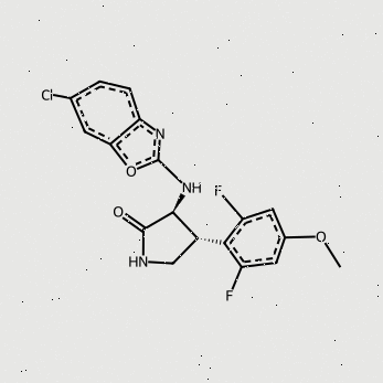 COc1cc(F)c([C@@H]2CNC(=O)[C@H]2Nc2nc3ccc(Cl)cc3o2)c(F)c1